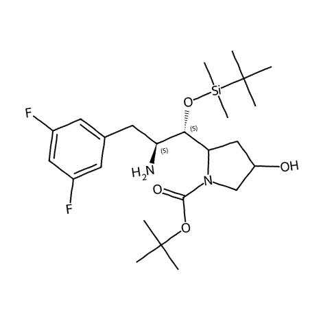 CC(C)(C)OC(=O)N1CC(O)CC1[C@@H](O[Si](C)(C)C(C)(C)C)[C@@H](N)Cc1cc(F)cc(F)c1